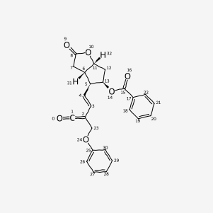 O=C=C(/C=C/[C@H]1[C@@H]2CC(=O)O[C@@H]2C[C@H]1OC(=O)c1ccccc1)COc1ccccc1